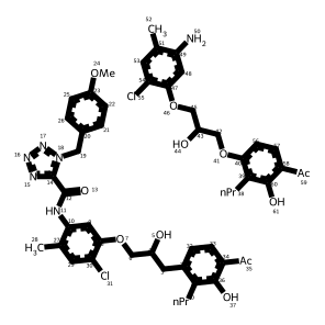 CCCc1c(CC(O)COc2cc(NC(=O)c3nnnn3Cc3ccc(OC)cc3)c(C)cc2Cl)ccc(C(C)=O)c1O.CCCc1c(OCC(O)COc2cc(N)c(C)cc2Cl)ccc(C(C)=O)c1O